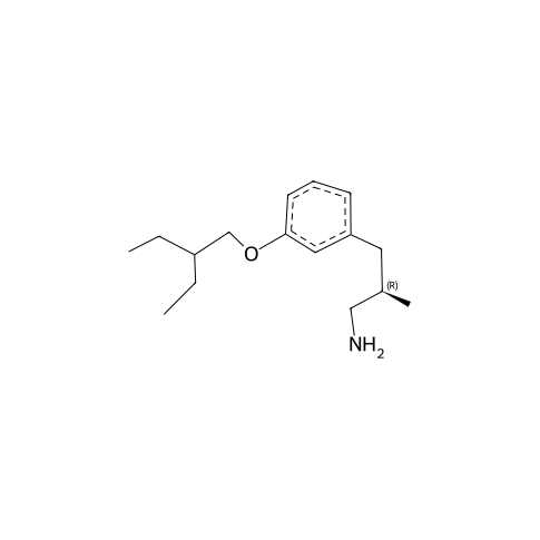 CCC(CC)COc1cccc(C[C@@H](C)CN)c1